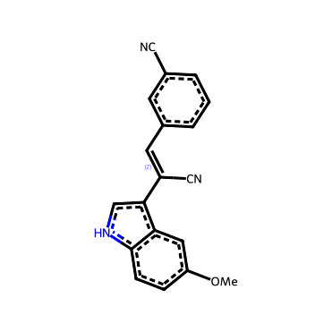 COc1ccc2[nH]cc(/C(C#N)=C/c3cccc(C#N)c3)c2c1